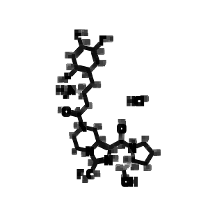 Cl.N[C@@H](CC(=O)N1CCn2c(C(F)(F)F)nc(C(=O)N3CCC[C@@H]3CO)c2C1)Cc1cc(F)c(F)cc1F